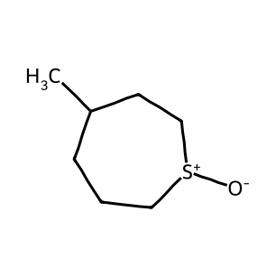 CC1CCC[S+]([O-])CC1